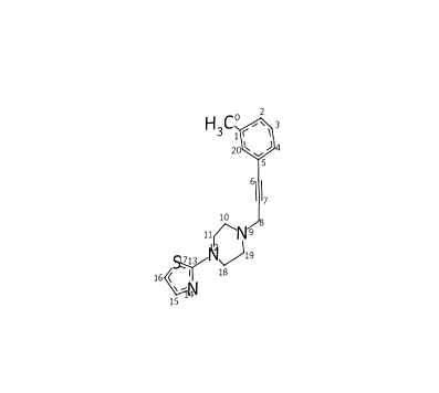 Cc1cccc(C#CCN2CCN(c3nccs3)CC2)c1